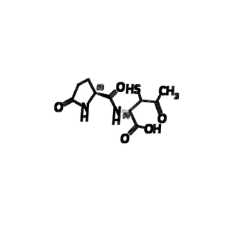 CC(=O)C(S)[C@@H](NC(=O)[C@@H]1CCC(=O)N1)C(=O)O